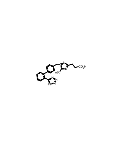 CCCCc1nc(CCC(=O)O)nn1Cc1ccc(-c2ccccc2-c2nnn[nH]2)cc1